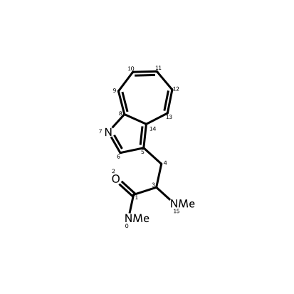 CNC(=O)C(Cc1cnc2cccccc1-2)NC